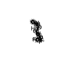 O=C(NCC(=O)N1CCN(C(=O)c2cc(F)ccc2C(F)(F)F)CC1)c1cn(-c2ccccc2)nn1